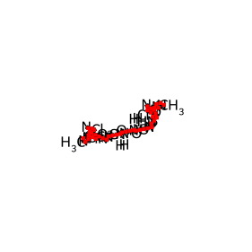 CN1CCCN([C@H]2Cc3c(C#N)cc(Cl)cc3[C@@H]2Oc2ccc(SN[C@H]3CCN(CCOCCNC(=O)NCCCCNC(=O)NCCOCCN4CC[C@H](N[S+]([O-])c5ccc(O[C@H]6c7cc(Cl)cc(C#N)c7C[C@@H]6N6CCCN(C)CC6)cc5)C4)C3)cc2)CC1